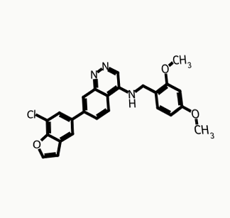 COc1ccc(CNc2cnnc3cc(-c4cc(Cl)c5occc5c4)ccc23)c(OC)c1